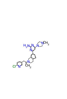 C=C(Cc1ccc(Cl)nc1)N1CCc2ccc(-c3cc(N4CCN(C)CC4)nc(N)n3)cc2C1